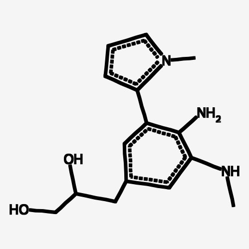 CNc1cc(CC(O)CO)cc(-c2cccn2C)c1N